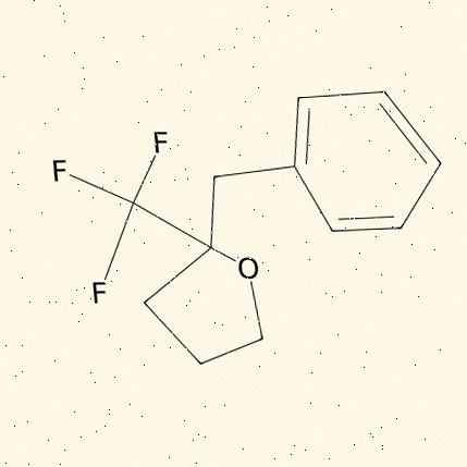 FC(F)(F)C1(Cc2ccccc2)CCCO1